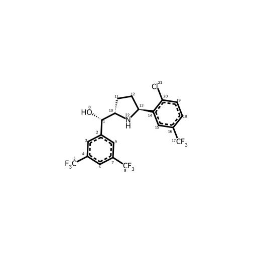 O[C@@H](c1cc(C(F)(F)F)cc(C(F)(F)F)c1)[C@@H]1CC[C@@H](c2cc(C(F)(F)F)ccc2Cl)N1